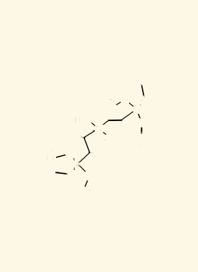 CCO[Si](CC[Si](C)(C)CC[Si](OCC)(OCC)OCC)(OCC)OCC